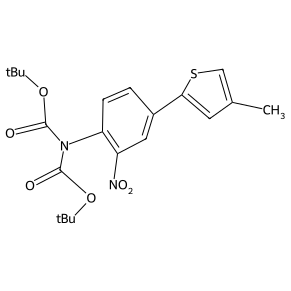 Cc1csc(-c2ccc(N(C(=O)OC(C)(C)C)C(=O)OC(C)(C)C)c([N+](=O)[O-])c2)c1